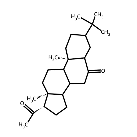 CC(=O)[C@H]1CCC2C3CC(=O)C4CC(C(C)(C)C)CC[C@]4(C)C3CC[C@@]21C